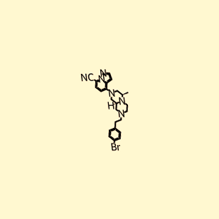 C[C@@H]1CN(c2ccc(C#N)n3nccc23)C[C@@H]2CN(CCc3ccc(Br)cc3)CCN21